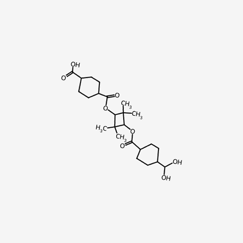 CC1(C)C(OC(=O)C2CCC(C(=O)O)CC2)C(C)(C)C1OC(=O)C1CCC(C(O)O)CC1